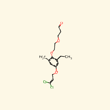 CCc1cc(OCC=C(Cl)Cl)cc(C)c1OCCOCCC=O